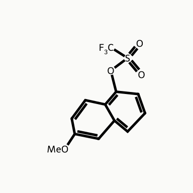 COc1ccc2c(OS(=O)(=O)C(F)(F)F)cccc2c1